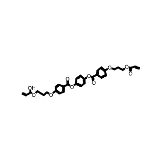 C=CC(=O)OCCCOc1ccc(C(=O)Oc2ccc(OC(=O)c3ccc(OCCCOC(O)C=C)cc3)cc2)cc1